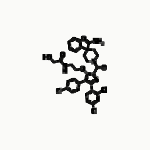 NC(=O)C1(c2ccccc2)CCN(C(=O)c2sc(-c3ccc(Cl)cc3Cl)c(-c3ccc(Cl)cc3)c2OCCNC(=O)CO)CC1